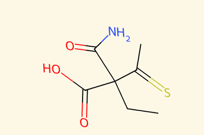 CCC(C(N)=O)(C(=O)O)C(C)=S